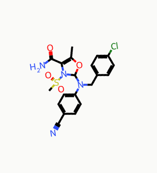 CC1=C(C(N)=O)N(S(C)(=O)=O)C(N(Cc2ccc(Cl)cc2)c2ccc(C#N)cc2)O1